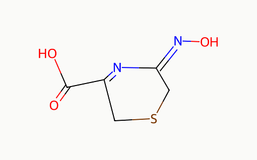 O=C(O)C1=NC(=NO)CSC1